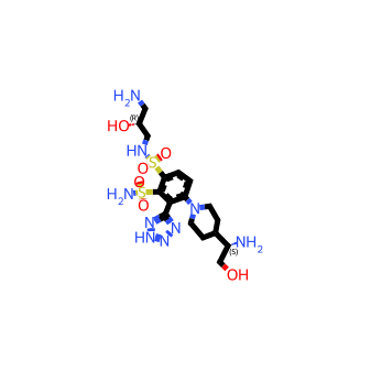 NC[C@@H](O)CNS(=O)(=O)c1ccc(N2CCC([C@H](N)CO)CC2)c(-c2nn[nH]n2)c1S(N)(=O)=O